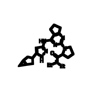 CCN(CC)C(=O)C1CCCN1c1nc2c(c(Nc3cc(C4CC5CC5C4)[nH]n3)n1)CCC2